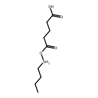 CCCC[SiH2]OC(=O)CCCC(=O)O